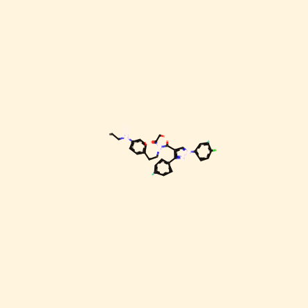 CCOC(=O)CCNc1ccc(CCN2C(=O)COC2c2cn(-c3ccc(Cl)c(F)c3)nc2-c2ccc(F)cc2)cc1